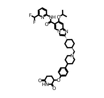 CC(C)Oc1cc2nc([C@H]3CC[C@H](CN4CCC(c5ccc(OC6CCC(=O)NC6=O)cc5)CC4)CC3)cn2cc1C(=O)Nc1cccc(C(F)F)n1